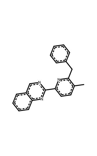 Cc1ccc(-c2ncc3ccccc3n2)nc1Cc1ccccc1